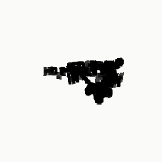 O=C(O)CCCNC(=O)N[C@@H](CCC(=O)NCCCCCCCC(=O)N[C@@H](Cc1ccccc1)C(=O)N[C@@H](Cc1ccccc1)C(=O)NCCNC(=S)Nc1ccc(-c2c3ccc(=O)cc-3oc3cc(O)ccc23)c(C(=O)O)c1)C(=O)O